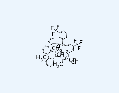 CC1CCCC2C1C1C3C=CC=CC3C3(C)C=CC=CC3(C)C1(C)[CH]2[Zr+2]([C]1=CC=CC1)=[C](c1cccc(C(F)(F)F)c1)c1cccc(C(F)(F)F)c1.[Cl-].[Cl-]